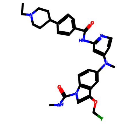 CCN1CCC(c2ccc(C(=O)Nc3cc(N(C)c4ccc5c(c4)c(OCF)cn5C(=O)NC)ccn3)cc2)CC1